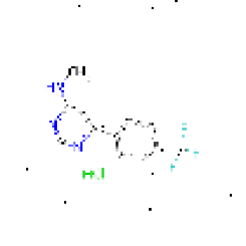 CNc1cc(-c2ccc(C(F)(F)F)cc2)ncn1.Cl